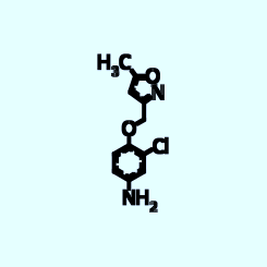 Cc1cc(COc2ccc(N)cc2Cl)no1